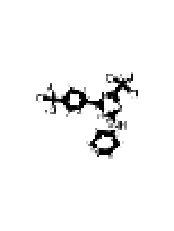 ClC(Cl)(Cl)c1ccc(-c2nc(Nc3ccncc3)nc(C(Cl)(Cl)Cl)n2)cc1